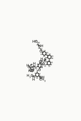 CNc1cc(COc2nc(OCc3cccc(-c4cccc(-c5ccc(OCCNCCO)cc5)c4C)c3C)c(Cl)cc2CN[C@@](C)(CO)C(=O)O)cc(NC)c1